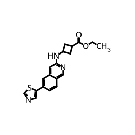 CCOC(=O)C1CC(Nc2cc3cc(-c4cncs4)ccc3cn2)C1